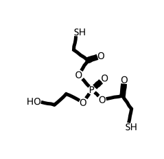 O=C(CS)OP(=O)(OCCO)OC(=O)CS